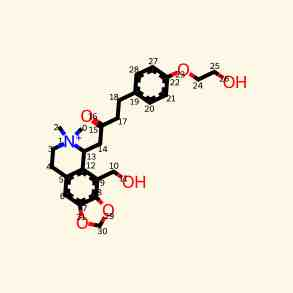 C[N+]1(C)CCc2cc3c(c(CO)c2C1CC(=O)CCc1ccc(OCCO)cc1)OCO3